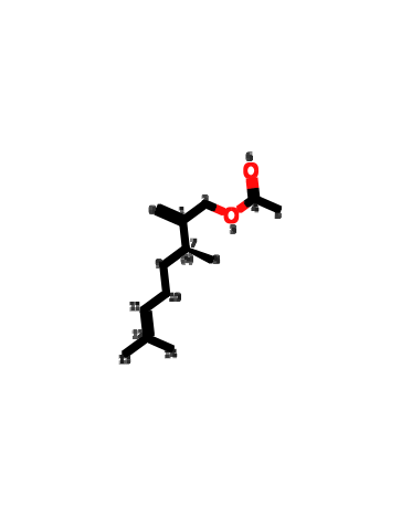 C=C(COC(C)=O)[C@@H](C)CCC=C(C)C